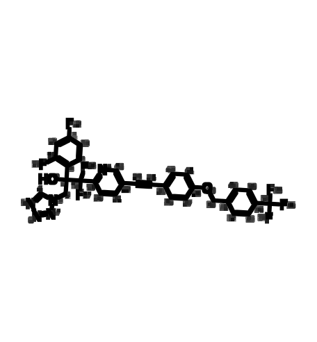 OC(Cn1cnnn1)(c1ccc(F)cc1F)C(F)(F)c1ccc(C#Cc2ccc(OCc3ccc(C(F)(F)F)cc3)cc2)cn1